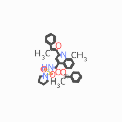 Cc1c(-c2cc(C(=O)NS(=O)(=O)N3CCCC3)c3c(O[C@H](C)c4ccccc4)ccc(C)c3n2)oc2ccccc12